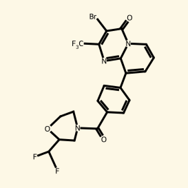 O=C(c1ccc(-c2cccn3c(=O)c(Br)c(C(F)(F)F)nc23)cc1)N1CCOC(C(F)F)C1